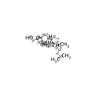 CC(C)CCC[C@@H](C)[C@H]1CC[C@H]2[C@@H]3CCC(=O)[C@](C)(CCCO)[C@H]3CC[C@]12C